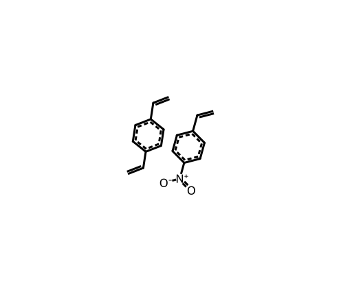 C=Cc1ccc(C=C)cc1.C=Cc1ccc([N+](=O)[O-])cc1